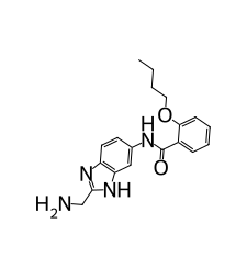 CCCCOc1ccccc1C(=O)Nc1ccc2nc(CN)[nH]c2c1